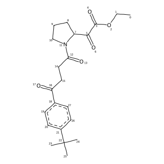 CCOC(=O)C(=O)C1CCCN1C(=O)CCC(=O)c1ccc(C(C)(C)C)cc1